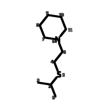 CC(C)SCCN1CCCCC1